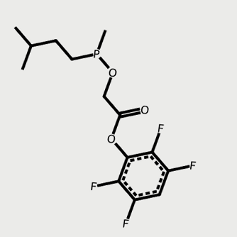 CC(C)CCP(C)OCC(=O)Oc1c(F)c(F)cc(F)c1F